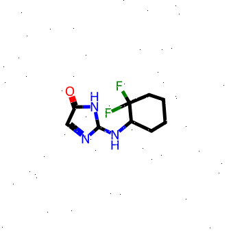 O=C1C=NC(NC2CCCCC2(F)F)N1